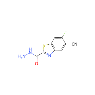 N#Cc1cc2nc(C(=O)NN)sc2cc1F